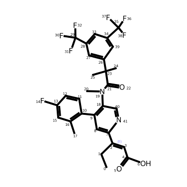 CC/C(=C\C(=O)O)c1cc(-c2ccc(F)cc2C)c(N(C)C(=O)C(C)(C)c2cc(C(F)(F)F)cc(C(F)(F)F)c2)cn1